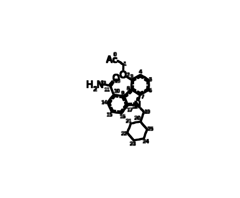 CC(=O)COc1cccc2c1c1c(C(N)=O)cccc1n2CC1CCCCC1